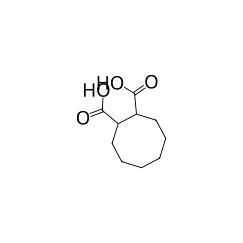 O=C(O)C1CCCCCCC1C(=O)O